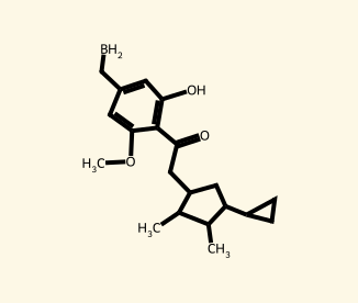 BCc1cc(O)c(C(=O)CC2CC(C3CC3)C(C)C2C)c(OC)c1